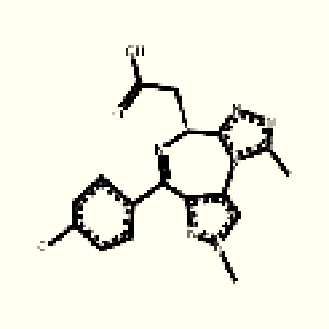 Cc1nnc2n1-c1cn(C)nc1C(c1ccc(Cl)cc1)=N[C@H]2CC(=O)O